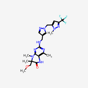 COCC1(C)C(=O)Nc2c(C)nc(NCc3cnn(Cc4cc(C(F)(F)F)nn4C)c3)nc2N1C